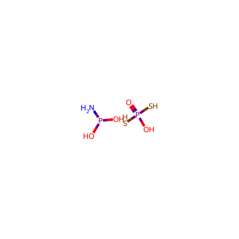 NP(O)O.O=P(O)(S)S